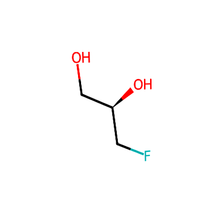 OC[C@@H](O)CF